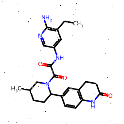 CCc1cc(NC(=O)C(=O)N2CC(C)CCC2c2ccc3c(c2)CCC(=O)N3)cnc1N